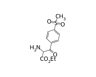 CCOC(=O)C(N)C(=O)c1ccc(S(C)(=O)=O)cc1